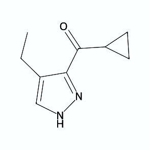 CCc1c[nH]nc1C(=O)C1CC1